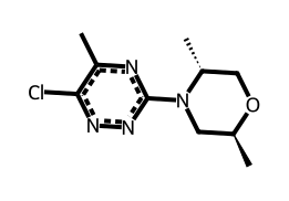 Cc1nc(N2C[C@H](C)OC[C@H]2C)nnc1Cl